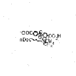 CCCCCCCCCCCCCCCC[N+](C)(C)C.O=C([O-])c1ccc(S(=O)(=O)c2ccc(C(=O)O)cc2)cc1